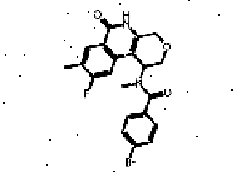 Cc1cc2c(=O)[nH]c3c(c2cc1F)C(N(C)C(=O)c1ccc(Br)cc1)COC3